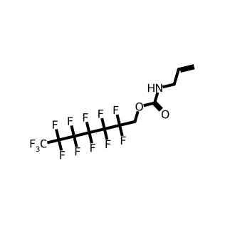 C=CCNC(=O)OCC(F)(F)C(F)(F)C(F)(F)C(F)(F)C(F)(F)C(F)(F)F